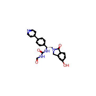 O=CNC(=O)N[C@@H](CN1Cc2cc(O)ccc2C1=O)c1ccc(-c2ccncc2)cc1